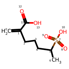 C=C(CCCC(C)S(=O)(=O)O)C(=O)O